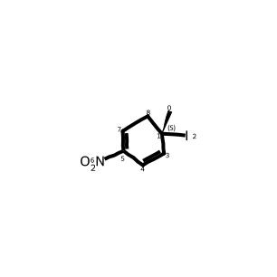 C[C@@]1(I)C=CC([N+](=O)[O-])=CC1